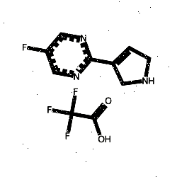 Fc1cnc(C2=CCNC2)nc1.O=C(O)C(F)(F)F